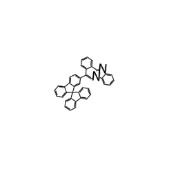 c1ccc2c(c1)-c1ccccc1C21c2ccccc2-c2ccc(-c3cn4c5ccccc5nc4c4ccccc34)cc21